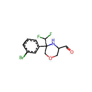 O=CC1COCC(c2cccc(Br)c2)(C(F)F)N1